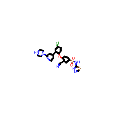 N#Cc1cc(S(=O)(=O)Nc2nncs2)ccc1Oc1ccc(Cl)cc1-c1ccnc(N2CCNCC2)c1